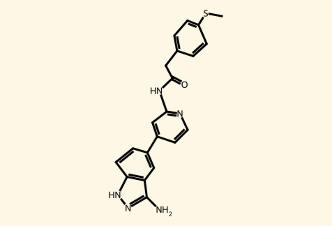 CSc1ccc(CC(=O)Nc2cc(-c3ccc4[nH]nc(N)c4c3)ccn2)cc1